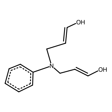 OC=CCN(CC=CO)c1ccccc1